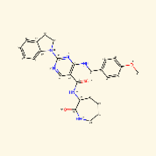 COc1ccc(CNc2nc(N3CCc4ccccc43)ncc2C(=O)NC2CCCCNC2=O)cc1